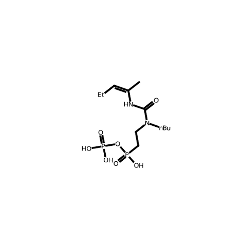 CCC=C(C)NC(=O)N(CCCC)CCP(=O)(O)OP(=O)(O)O